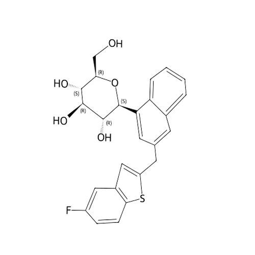 OC[C@H]1O[C@@H](c2cc(Cc3cc4cc(F)ccc4s3)cc3ccccc23)[C@H](O)[C@@H](O)[C@@H]1O